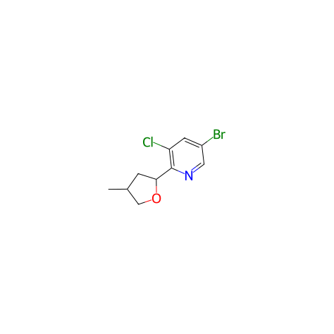 CC1COC(c2ncc(Br)cc2Cl)C1